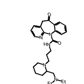 CCN(CC)CC1CCCCN1CCCNC(=O)N1c2ccccc2C(=O)Cc2cccnc21